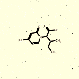 CCC(C)C(C(=O)O)n1ccc(C)cc1=O